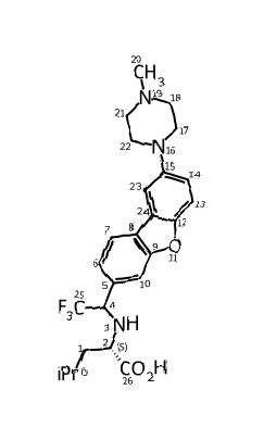 CC(C)C[C@H](NC(c1ccc2c(c1)oc1ccc(N3CCN(C)CC3)cc12)C(F)(F)F)C(=O)O